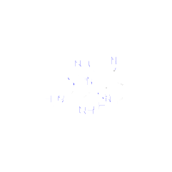 N#Cc1cccnc1.Nc1nc(N)c(N)c(N)n1